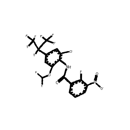 O=C(Nc1c(Cl)cc(C(F)(C(F)(F)F)C(F)(F)F)cc1OC(F)F)c1cccc([N+](=O)[O-])c1F